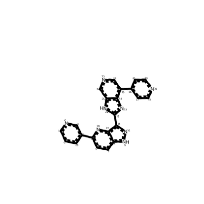 c1cncc(-c2ccc3[nH]nc(-c4nc5c(-c6ccncc6)cncc5[nH]4)c3n2)c1